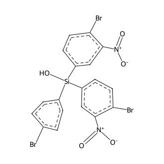 O=[N+]([O-])c1cc([Si](O)(c2ccc(Br)cc2)c2ccc(Br)c([N+](=O)[O-])c2)ccc1Br